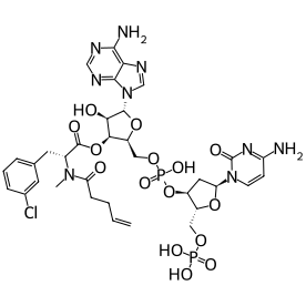 C=CCCC(=O)N(C)[C@H](Cc1cccc(Cl)c1)C(=O)O[C@H]1[C@@H](O)[C@H](n2cnc3c(N)ncnc32)O[C@H]1COP(=O)(O)O[C@H]1C[C@@H](n2ccc(N)nc2=O)O[C@@H]1COP(=O)(O)O